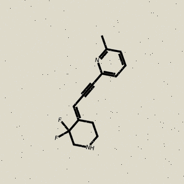 Cc1cccc(C#C/C=C2\CCNCC2(F)F)n1